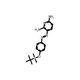 CC(C)(C)[Si](C)(C)Oc1ccc(/N=N/c2ccc(N)nc2N)cc1